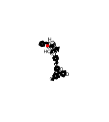 CO[C@@]1(NC(=O)Cc2ccccc2)C(=O)N2C(C(=O)O)=C(COc3ccc(COc4ccc5c(-c6ccc(C=O)cc6C)c6ccc(=O)cc-6oc5c4)cc3)C3(CC3)S[C@@H]21